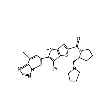 Cc1cc(-c2[nH]c3cc(C(=O)N4CCC[C@H]4CN4CCCC4)sc3c2C(C)C)cn2ncnc12